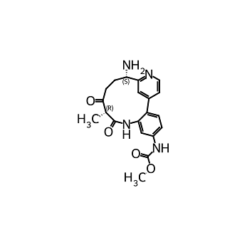 COC(=O)Nc1ccc2c(c1)NC(=O)[C@H](C)C(=O)CC[C@H](N)c1cc-2ccn1